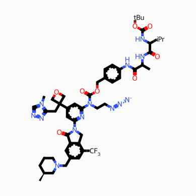 CC(NC(=O)C(NC(=O)OC(C)(C)C)C(C)C)C(=O)Nc1ccc(COC(=O)N(CCN=[N+]=[N-])c2cc(C3(Cc4nncn4C)COC3)cc(N3Cc4c(cc(CN5CCC[C@H](C)C5)cc4C(F)(F)F)C3=O)n2)cc1